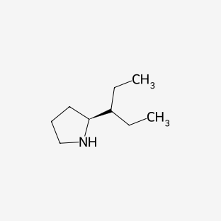 CCC(CC)[C@@H]1CCCN1